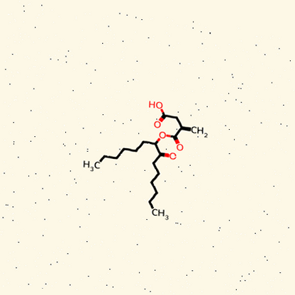 C=C(CC(=O)O)C(=O)OC(CCCCCC)C(=O)CCCCCC